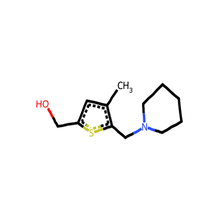 Cc1cc(CO)sc1CN1CCCCC1